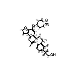 Cc1nc(N[C@H](C)c2cccc(C(F)(F)CO)c2F)c2cc(OC3CCS(=O)(=O)CC3)c3c(c2n1)CCO3